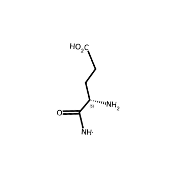 [NH]C(=O)[C@@H](N)CCC(=O)O